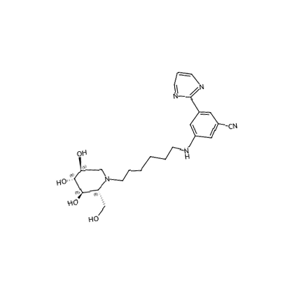 N#Cc1cc(NCCCCCCN2C[C@H](O)[C@@H](O)[C@H](O)[C@H]2CO)cc(-c2ncccn2)c1